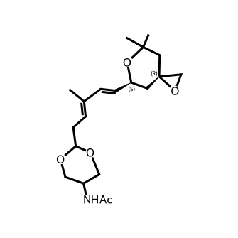 CC(=O)NC1COC(CC=C(C)C=C[C@@H]2C[C@]3(CO3)CC(C)(C)O2)OC1